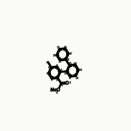 COC(=O)c1ccc(C)cc1-c1ccccc1-c1ccccc1